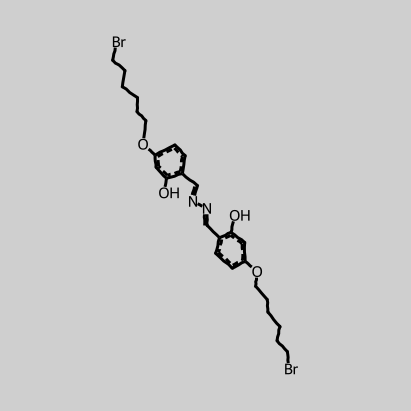 Oc1cc(OCCCCCCBr)ccc1C=N/N=C/c1ccc(OCCCCCCBr)cc1O